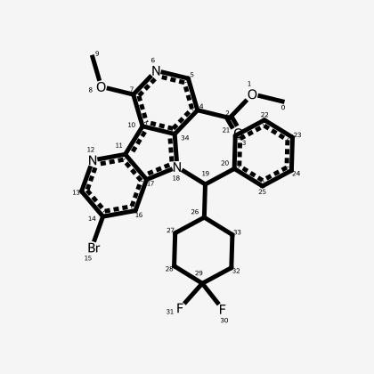 COC(=O)c1cnc(OC)c2c3ncc(Br)cc3n(C(c3ccccc3)C3CCC(F)(F)CC3)c12